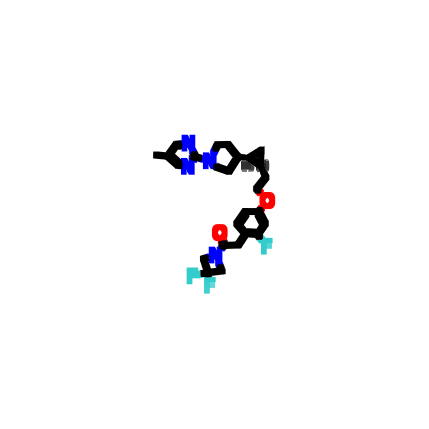 Cc1cnc(N2CCC([C@H]3C[C@H]3CCOc3ccc(CC(=O)N4CC(F)(F)C4)c(F)c3)CC2)nc1